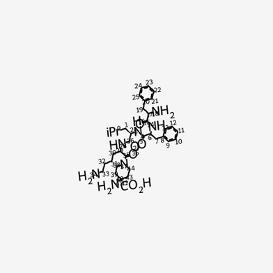 CC(C)C[C@@H](NC(=O)C(Cc1ccccc1)NC(=O)C(N)Cc1ccccc1)C(=O)NC(CCCCN)C(=O)N1CCC(N)(C(=O)O)CC1